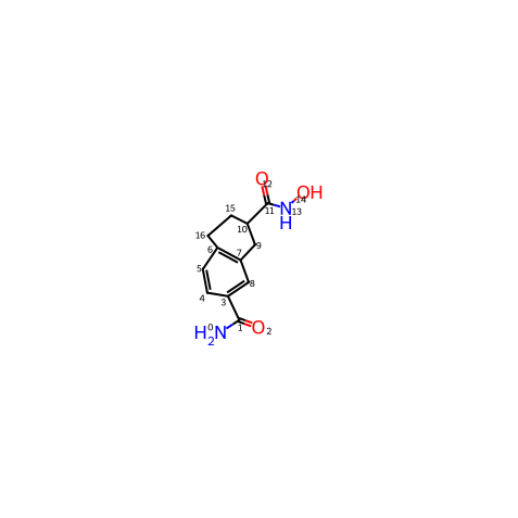 NC(=O)c1ccc2c(c1)CC(C(=O)NO)CC2